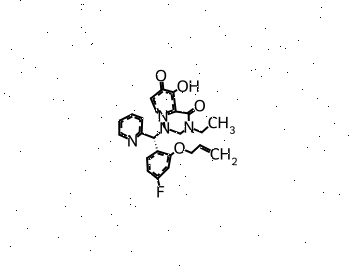 C=CCOc1cc(F)ccc1[C@H](c1ccccn1)N1CN(CC)C(=O)c2c(O)c(=O)ccn21